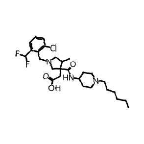 CCCCCCN1CCC(NC(=O)C2(CC(=O)O)CN(Cc3c(Cl)cccc3C(F)F)CC2C)CC1